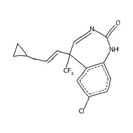 O=C1N=CC(C=CC2CC2)(C(F)(F)F)c2cc(Cl)ccc2N1